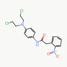 O=C(Cc1ccccc1[N+](=O)[O-])Nc1ccc(N(CCCl)CCCl)cc1